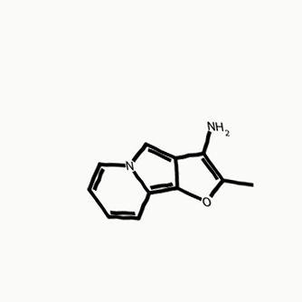 Cc1oc2c(cn3ccccc23)c1N